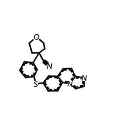 N#CC1(c2cccc(Sc3ccc4c(ccc5nccn54)c3)c2)CCOCC1